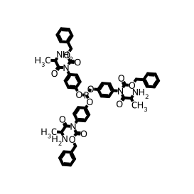 CC(N)C(=O)N(C(=O)OCc1ccccc1)c1ccc(OP(Oc2ccc(N(C(=O)OCc3ccccc3)C(=O)C(C)N)cc2)Oc2ccc(N(C(=O)OCc3ccccc3)C(=O)C(C)N)cc2)cc1